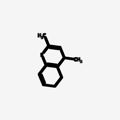 CC1=CC(C)C2=C(C=CCC2)S1